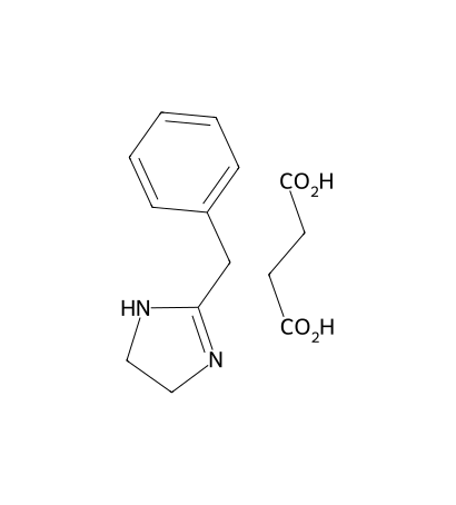 O=C(O)CCC(=O)O.c1ccc(CC2=NCCN2)cc1